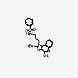 CCCCc1nc2c(N)nc3ccccc3c2n1CCCNS(=O)(=O)c1ccccc1